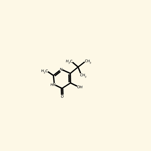 Cc1nc(C(C)(C)C)c(O)c(=O)[nH]1